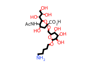 CC(=O)N[C@H]1C([C@H](O)[C@H](O)CO)O[C@@](OCC2O[C@H](OCCCCCN)C(O)[C@@H](O)[C@H]2O)(C(=O)O)C[C@H]1O